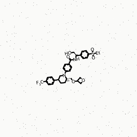 CCS(=O)(=O)c1ccc([C@H](CO)NC(=O)c2ccc(N3CC(c4ccc(C(F)(F)F)cc4)CC[C@H]3COC3COC3)cc2)cc1